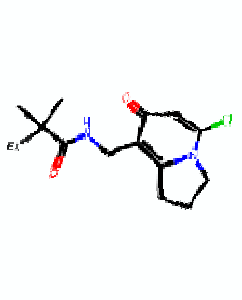 CCC(C)(C)C(=O)NCc1c2n(c(Cl)cc1=O)CCC2